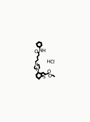 CCOC(=O)c1cc2c(N3CCN(CCCCC(=O)Nc4ccccc4)CC3)cccc2s1.Cl